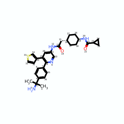 CC(C)(N)c1ccc(-c2ncc(NC(=O)C[C@H]3CC[C@H](NC(=O)C4CC4)CC3)cc2-c2ccsc2)cc1